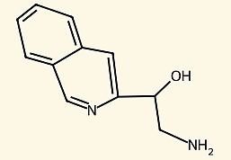 NCC(O)c1cc2ccccc2cn1